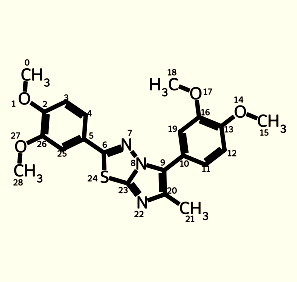 COc1ccc(-c2nn3c(-c4ccc(OC)c(OC)c4)c(C)nc3s2)cc1OC